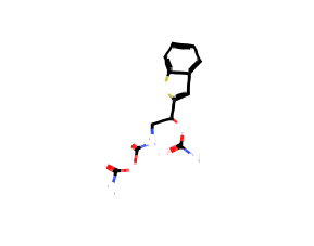 NC(=O)OC(=O)NCC(OC(N)=O)c1cc2ccccc2s1